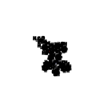 C=C(C)C(=O)NCCCN(Cc1ccccc1B(O)O)Cc1c2ccccc2c(CN(Cc2ccc(C(=C\C=C3/N(CCCS(=O)(=O)O)c4ccc5ccccc5c4C3(C)C)/C=C/C3=[N+](CCCS(=O)(=O)[O-])c4ccc5ccccc5c4C3(C)C)cc2)Cc2ccccc2B(O)O)c2ccccc12